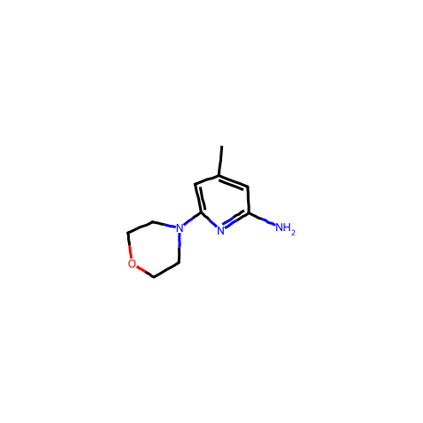 Cc1cc(N)nc(N2CCOCC2)c1